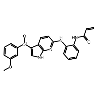 C=CC(=O)Nc1ccccc1Nc1ccc2c([S+]([O-])c3cccc(OC)c3)c[nH]c2n1